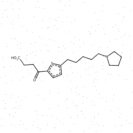 O=C(O)CCC(=O)c1ccc(CCCCCN2CCCC2)s1